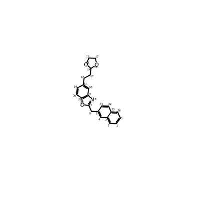 c1ccc2cc(Cc3nc4cc(CCC5OCCO5)ccc4o3)ccc2c1